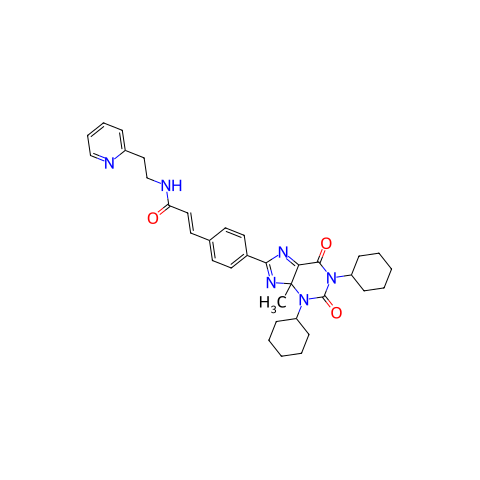 CC12N=C(c3ccc(/C=C/C(=O)NCCc4ccccn4)cc3)N=C1C(=O)N(C1CCCCC1)C(=O)N2C1CCCCC1